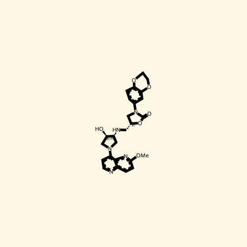 COc1ccc2nccc(N3C[C@@H](O)[C@H](NC[C@@H]4CN(c5ccc6c(c5)OCCO6)C(=O)O4)C3)c2n1